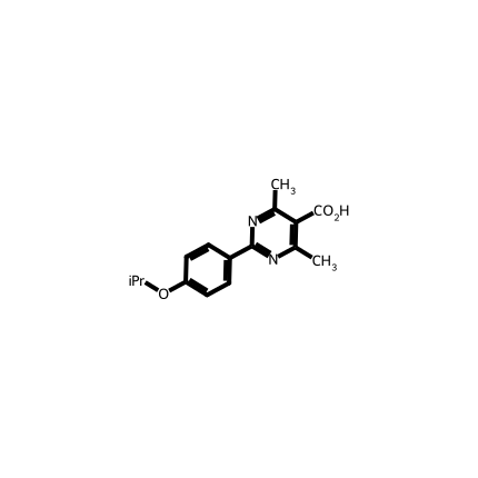 Cc1nc(-c2ccc(OC(C)C)cc2)nc(C)c1C(=O)O